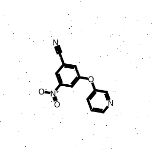 N#Cc1cc(Oc2cccnc2)cc([N+](=O)[O-])c1